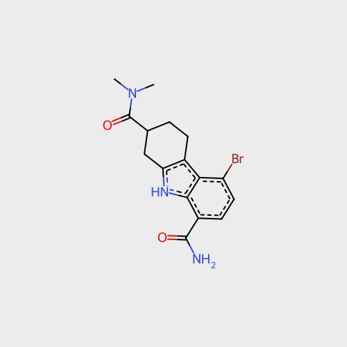 CN(C)C(=O)C1CCc2c([nH]c3c(C(N)=O)ccc(Br)c23)C1